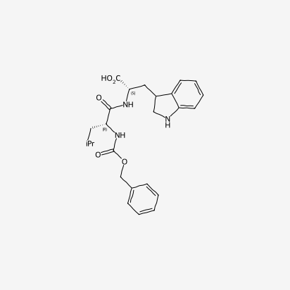 CC(C)C[C@@H](NC(=O)OCc1ccccc1)C(=O)N[C@@H](CC1CNc2ccccc21)C(=O)O